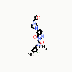 CN(Cc1ccc(C#N)c(Cl)c1)C(=O)Cn1cnc2ccc(N3CCCN(CC4CCOC4)CC3)cc2c1=O